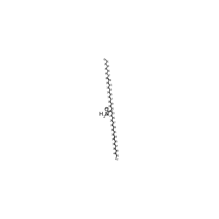 CCCCCCCCC=CCCCCCCCCCCCCC(CCCCCCCCCCC=CCCCCCCCC)C(N)=O